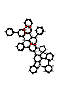 c1ccc(-c2cc(-c3ccccc3)cc(N(c3ccccc3-c3cccc(-c4cc5c6ccccc6n6c5c5c4C4(CCCC4)c4cccc(c4-5)-c4ccccc4-6)c3)c3cccc(-c4ccccc4)c3-c3ccccc3)c2)cc1